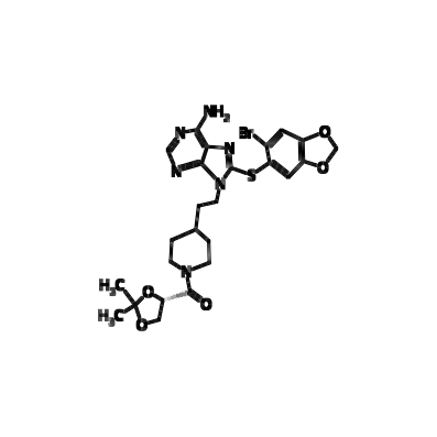 CC1(C)OC[C@@H](C(=O)N2CCC(CCn3c(Sc4cc5c(cc4Br)OCO5)nc4c(N)ncnc43)CC2)O1